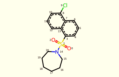 O=S(=O)(c1cccc2c(Cl)cccc12)N1CCCCCC1